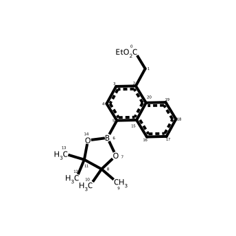 CCOC(=O)Cc1ccc(B2OC(C)(C)C(C)(C)O2)c2ccccc12